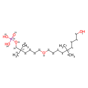 CC(C)(CCCCO)CCCCOCCCCC(C)(C)COP(=O)(O)O